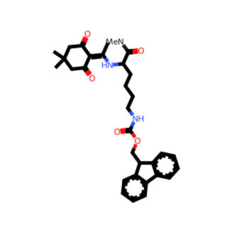 CNC(=O)C(CCCCNC(=O)OCC1c2ccccc2-c2ccccc21)NC(C)=C1C(=O)CC(C)(C)CC1=O